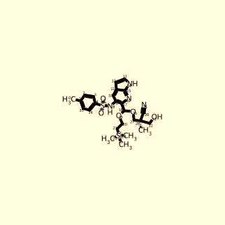 Cc1ccc(S(=O)(=O)Nc2cc3cc[nH]c3nc2C(OCC[Si](C)(C)C)OC[C@@](C)(C#N)CO)cc1